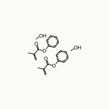 C=C(C)C(=O)Oc1ccccc1.C=C(C)C(=O)Oc1ccccc1.CO.CO